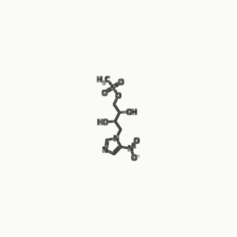 CS(=O)(=O)OCC(O)C(O)Cn1cncc1[N+](=O)[O-]